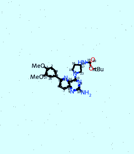 COc1ccc(-c2ccc3nc(N)nc(N4CCC(NC(=O)OC(C)(C)C)C4)c3n2)cc1OC